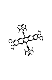 C=C(C)S(C#Cc1c2cc3cc(OC)c(OC)cc3cc2c(C#CS(C(=C)C)(C(C)C)C(C)C)c2cc3cc(OC)c(OC)cc3cc12)(C(C)C)C(C)C